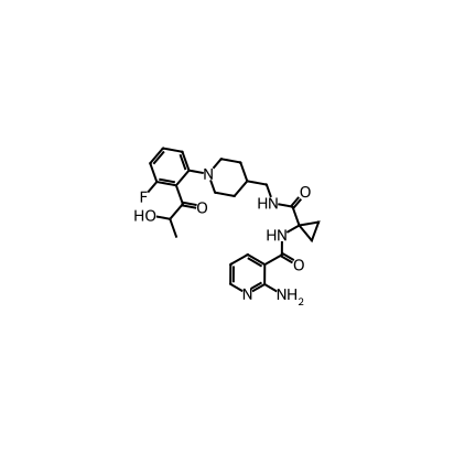 CC(O)C(=O)c1c(F)cccc1N1CCC(CNC(=O)C2(NC(=O)c3cccnc3N)CC2)CC1